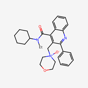 CCN(C(=O)c1c(C[N+]2([O-])CCOCC2)c(-c2ccccc2)nc2ccccc12)C1CCCCC1